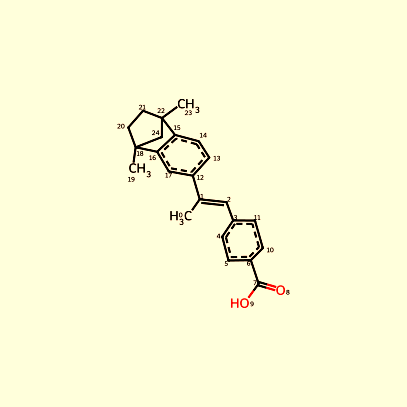 CC(=Cc1ccc(C(=O)O)cc1)c1ccc2c(c1)C1(C)CCC2(C)C1